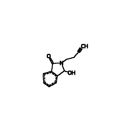 C#CCCN1C(=O)c2ccccc2C1O